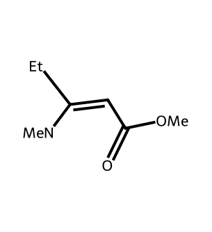 CCC(=CC(=O)OC)NC